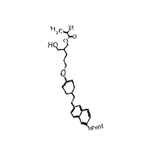 C=C(CC)C(=O)OCC(CO)CCCOC1CCC(CCc2ccc3cc(CCCCC)ccc3c2)CC1